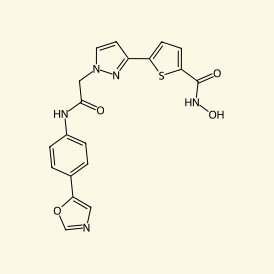 O=C(Cn1ccc(-c2ccc(C(=O)NO)s2)n1)Nc1ccc(-c2cnco2)cc1